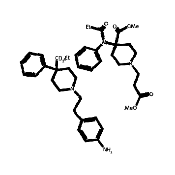 CCC(=O)N(c1ccccc1)C1(C(=O)OC)CCN(CCC(=O)OC)CC1.CCOC(=O)C1(c2ccccc2)CCN(CCc2ccc(N)cc2)CC1